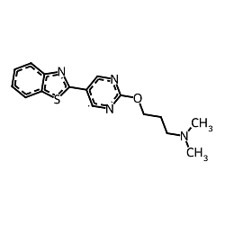 CN(C)CCCOc1n[c]c(-c2nc3ccccc3s2)cn1